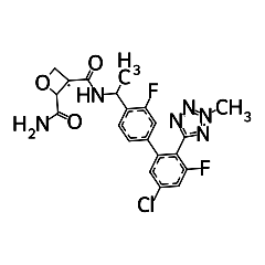 CC(NC(=O)[C]1COC1C(N)=O)c1ccc(-c2cc(Cl)cc(F)c2-c2nnn(C)n2)cc1F